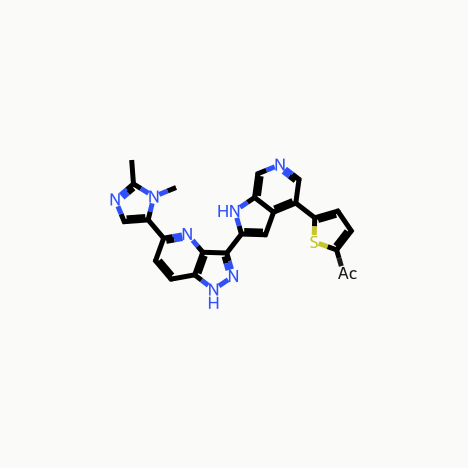 CC(=O)c1ccc(-c2cncc3[nH]c(-c4n[nH]c5ccc(-c6cnc(C)n6C)nc45)cc23)s1